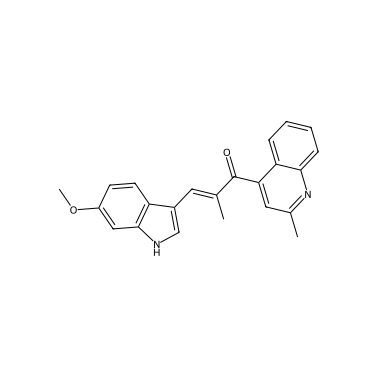 COc1ccc2c(/C=C(\C)C(=O)c3cc(C)nc4ccccc34)c[nH]c2c1